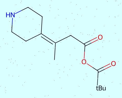 CC(CC(=O)OC(=O)C(C)(C)C)=C1CCNCC1